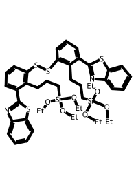 CCO[Si](CCCc1c(SSc2cccc(-c3nc4ccccc4s3)c2CCC[Si](OCC)(OCC)OCC)cccc1-c1nc2ccccc2s1)(OCC)OCC